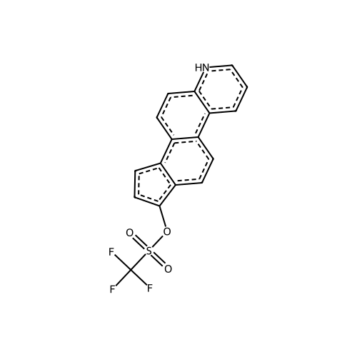 O=S(=O)(Oc1ccc2c1ccc1c3ccc[nH]c3ccc21)C(F)(F)F